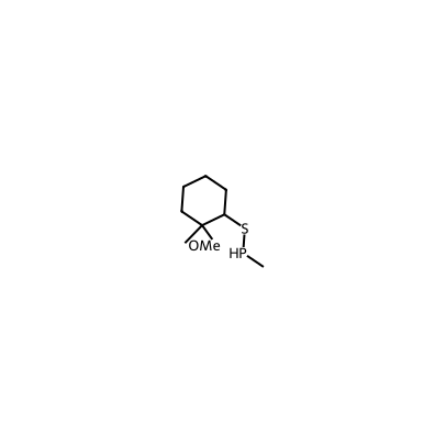 COC1(C)CCCCC1SPC